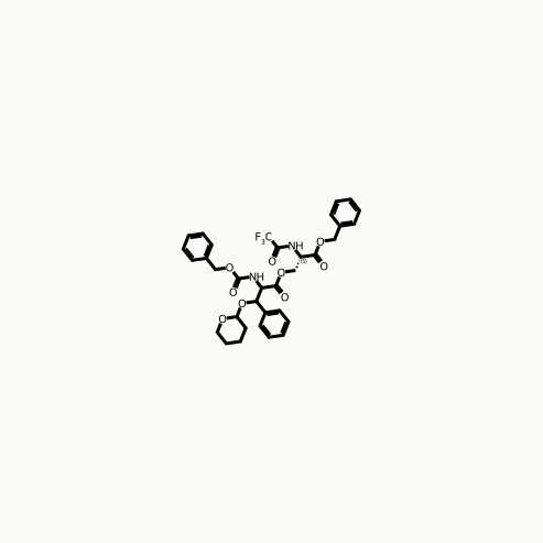 O=C(NC(C(=O)OC[C@H](NC(=O)C(F)(F)F)C(=O)OCc1ccccc1)C(OC1CCCCO1)c1ccccc1)OCc1ccccc1